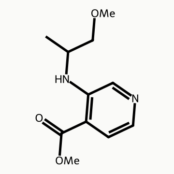 COCC(C)Nc1cnccc1C(=O)OC